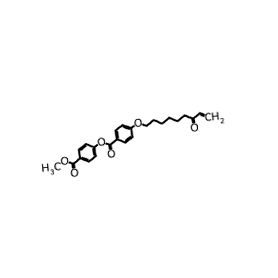 C=CC(=O)CCCCCCOc1ccc(C(=O)Oc2ccc(C(=O)OC)cc2)cc1